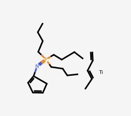 C=CC=CC.CCCCP(CCCC)(CCCC)=NC1=CC=CC1.[Ti]